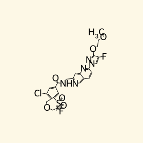 COCCOc1nn(-c2ccc3cnc(CNC(=O)c4cc(Cl)c5c(c4)S(=O)(=O)[C@@H](F)COC5)cc3n2)cc1F